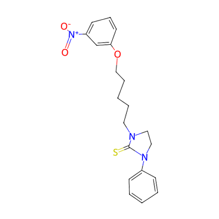 O=[N+]([O-])c1cccc(OCCCCCN2CCN(c3ccccc3)C2=S)c1